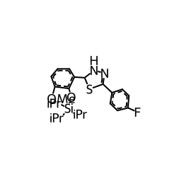 COc1cccc(C2NN=C(c3ccc(F)cc3)S2)c1O[Si](C(C)C)(C(C)C)C(C)C